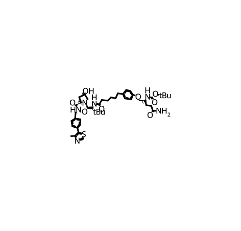 Cc1ncsc1-c1ccc(CNC(=O)[C@@H]2C[C@@H](O)CN2C(=O)[C@@H](NC(=O)CCCCCc2ccc(OC[C@H](CCC(N)=O)NC(=O)OC(C)(C)C)cc2)C(C)(C)C)cc1